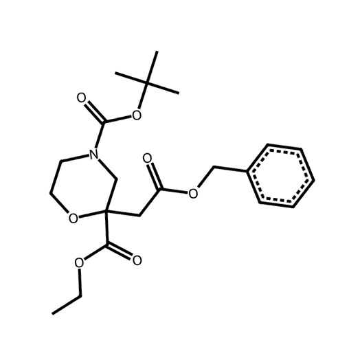 CCOC(=O)C1(CC(=O)OCc2ccccc2)CN(C(=O)OC(C)(C)C)CCO1